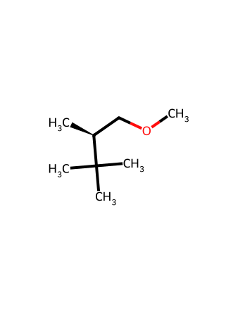 COC[C@H](C)C(C)(C)C